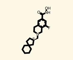 O=C(NO)c1cc(F)c2c(c1)CCN(C[C@@H]1CCC3(CCCCC3)C1)C2